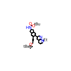 CCN1C=CCc2cc(-c3cc4c(cc3C#CCO[Si](C)(C)C(C)(C)C)CC(NC(=O)OC(C)(C)C)C4)cnc21